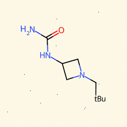 CC(C)(C)CN1CC(NC(N)=O)C1